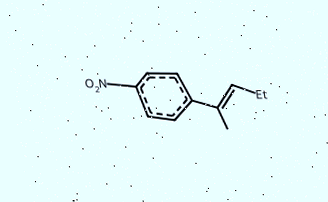 CCC=C(C)c1ccc([N+](=O)[O-])cc1